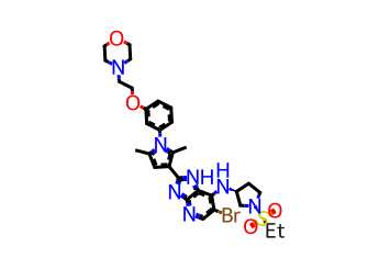 CCS(=O)(=O)N1CC[C@H](Nc2c(Br)cnc3nc(-c4cc(C)n(-c5cccc(OCCN6CCOCC6)c5)c4C)[nH]c23)C1